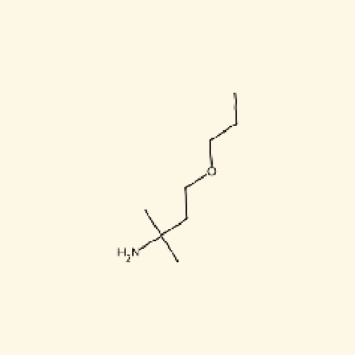 CCCOCCC(C)(C)N